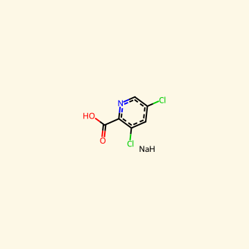 O=C(O)c1ncc(Cl)cc1Cl.[NaH]